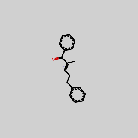 C/C(=C\CCc1ccccc1)C(=O)c1ccccc1